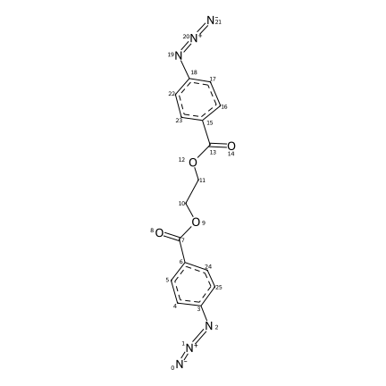 [N-]=[N+]=Nc1ccc(C(=O)OCCOC(=O)c2ccc(N=[N+]=[N-])cc2)cc1